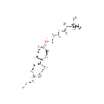 CCCC1CCC(c2ccc(OCCCCCC[SiH2]I)cc2)CC1